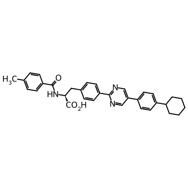 Cc1ccc(C(=O)N[C@@H](Cc2ccc(-c3ncc(-c4ccc(C5CCCCC5)cc4)cn3)cc2)C(=O)O)cc1